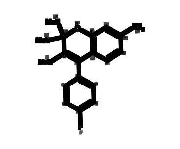 CNC1=C(c2ccc(F)cc2)c2ccc(N)cc2OC1(NC)NC